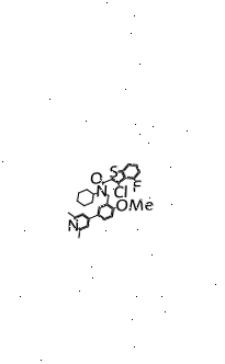 COc1ccc(-c2cc(C)nc(C)c2)cc1CN(C(=O)c1sc2cccc(F)c2c1Cl)C1CCCCC1